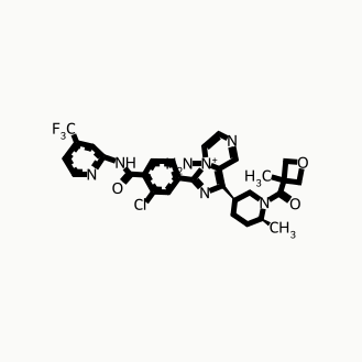 C[C@H]1CC[C@@H](C2=C3C=NC=C[N+]3(N)C(c3ccc(C(=O)Nc4cc(C(F)(F)F)ccn4)c(Cl)c3)=N2)CN1C(=O)C1(C)COC1